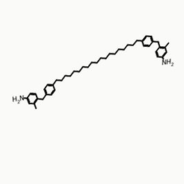 Cc1cc(N)ccc1Cc1ccc(CCCCCCCCCCCCCCCCCCCc2ccc(Cc3ccc(N)cc3C)cc2)cc1